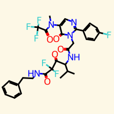 CC(C)C(NC(=O)Cn1c(-c2ccc(F)cc2)ncc(N(C)C(=O)C(F)(F)F)c1=O)C(=O)C(F)(F)C(=O)NCCc1ccccc1